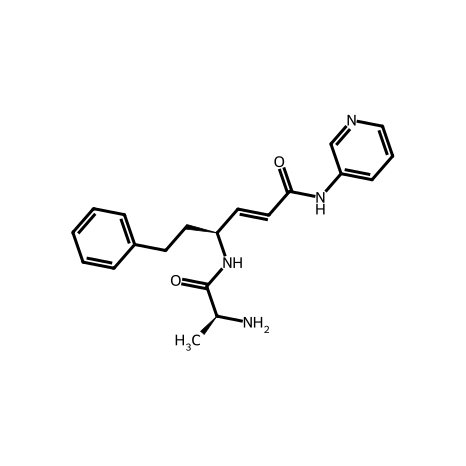 C[C@H](N)C(=O)N[C@H](/C=C/C(=O)Nc1cccnc1)CCc1ccccc1